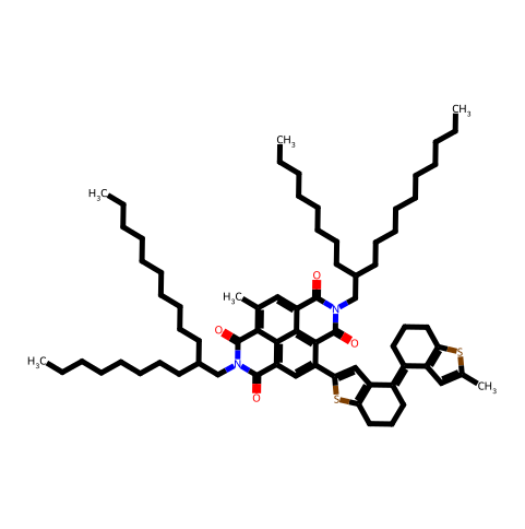 CCCCCCCCCCC(CCCCCCCC)CN1C(=O)c2cc(-c3cc4c(s3)CCC/C4=C3/CCCc4sc(C)cc43)c3c4c(cc(C)c(c24)C1=O)C(=O)N(CC(CCCCCCCC)CCCCCCCCCC)C3=O